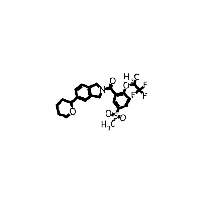 CC(Oc1ccc(S(C)(=O)=O)cc1C(=O)N1Cc2ccc(C3CCCCO3)cc2C1)C(F)(F)F